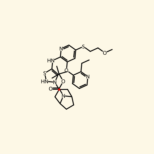 CCc1ncccc1Oc1cc(SCCOC)cnc1NC1=CN(C2CC3CCC(C2)N3C(=O)OC(C)(C)C)NS1